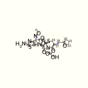 CO/N=C(\C(=O)N[C@@H]1C(=O)N2C(OC(=O)O)=C(/C=C/C3CCCO3)CS[C@@H]12)c1csc(N)n1